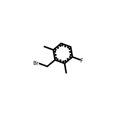 Cc1ccc(F)c(C)c1CBr